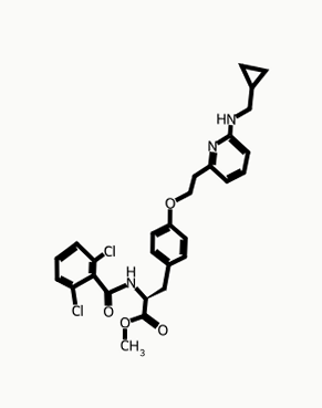 COC(=O)[C@H](Cc1ccc(OCCc2cccc(NCC3CC3)n2)cc1)NC(=O)c1c(Cl)cccc1Cl